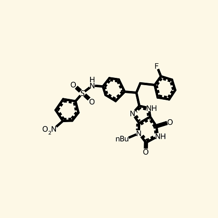 CCCCn1c(=O)[nH]c(=O)c2[nH]c(C(Cc3ccccc3F)c3ccc(NS(=O)(=O)c4ccc([N+](=O)[O-])cc4)cc3)nc21